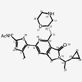 CC(=O)Nc1nc(C)c(-c2cc3c(c(C[C@H]4CNCCO4)n2)C(=O)N(C(C)C2CC2)C3)s1